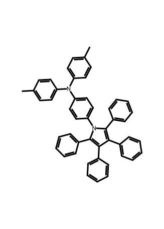 Cc1ccc(N(c2ccc(C)cc2)c2ccc(-n3c(-c4ccccc4)c(-c4ccccc4)c(-c4ccccc4)c3-c3ccccc3)cc2)cc1